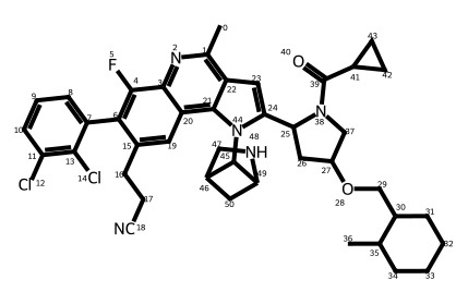 Cc1nc2c(F)c(-c3cccc(Cl)c3Cl)c(CCC#N)cc2c2c1cc(C1CC(OCC3CCCCC3C)CN1C(=O)C1CC1)n2C1C2CNC1C2